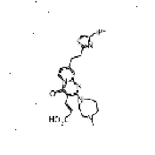 CC(C)c1csc(CCc2ccn3c(=O)c(/C=C/C(=O)O)c(N4CCCN(C)CC4)nc3c2)n1